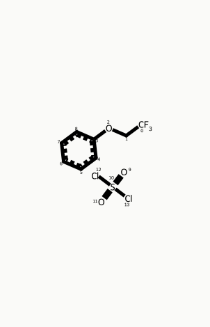 FC(F)(F)COc1ccccc1.O=S(=O)(Cl)Cl